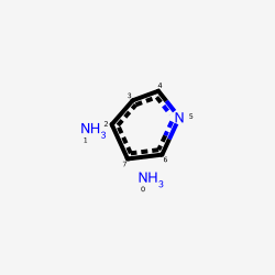 N.N.c1ccncc1